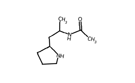 CC(=O)NC(C)CC1CCCN1